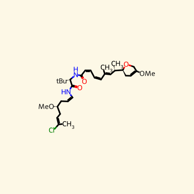 COC1=CC[C@@H]([C@@H](C)/C=C(C)/C=C\C=C/C(=O)N[C@H](C(=O)N/C=C\C[C@H](C/C=C(\C)Cl)OC)C(C)(C)C)OC1